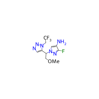 COCC(c1cnnn1CC(F)(F)F)n1cc(N)c(F)n1